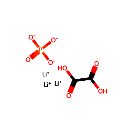 O=C(O)C(=O)O.O=P([O-])([O-])[O-].[Li+].[Li+].[Li+]